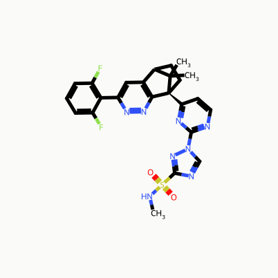 CNS(=O)(=O)c1ncn(-c2nccc([C@@]34CCC(c5cc(-c6c(F)cccc6F)nnc53)C4(C)C)n2)n1